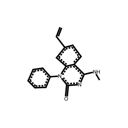 C=Cc1ccc2c(NC)nc(=O)n(-c3ccccc3)c2c1